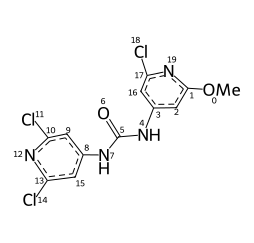 COc1cc(NC(=O)Nc2cc(Cl)nc(Cl)c2)cc(Cl)n1